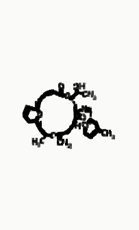 C=C1CC[C@@H]2O[C@@]2(/N=C\[C@@H]2CC(C)=CCO2)C[C@@H]([C@H](C)O)OC(=O)/C=C\C[C@@H]2C=CC[C@@H](C[C@@H](C)C1)O2